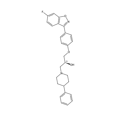 O[C@H](COc1ccc(-c2noc3cc(F)ccc23)cc1)CN1CCC(c2ccccc2)CC1